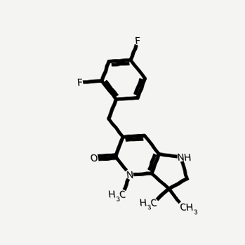 Cn1c2c(cc(Cc3ccc(F)cc3F)c1=O)NCC2(C)C